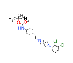 CC(C)(C)OC(=O)N[C@H]1CC[C@H](CCN2CC3(C2)CN(c2cccc(Cl)c2Cl)C3)CC1